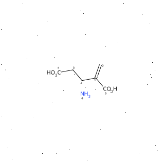 C=C(CCC(=O)O)C(=O)O.N